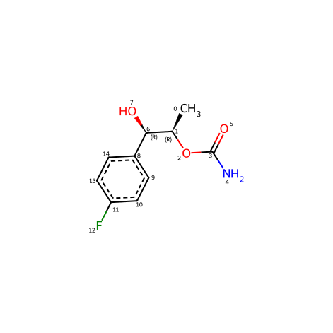 C[C@@H](OC(N)=O)[C@H](O)c1ccc(F)cc1